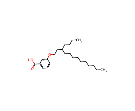 CCCCCCCCCCC(CCCC)CCOc1cccc(C(=O)O)c1